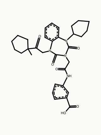 CC1(C(=O)CN2C(=O)N(CC(=O)Nc3cccc(C(=O)O)c3)C(=O)N(C3CCCCC3)c3ccccc32)CCCCC1